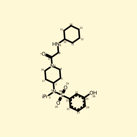 CC(C)N(C1CCN(C(=O)CNC2CCCCC2)CC1)S(=O)(=O)c1cccc(O)c1